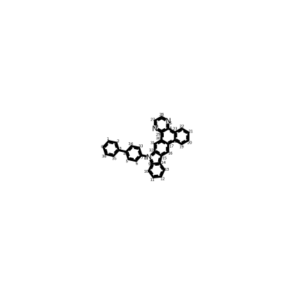 c1ccc(-c2ccc(-n3c4ccccc4c4cc5c6ccccc6c6nccnc6c5cc43)cc2)cc1